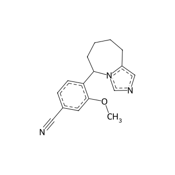 COc1cc(C#N)ccc1C1CCCCc2cncn21